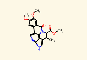 COC(=O)[C@H]1C(C)c2c[nH]c3ncc4c5cc(OC)c(OC)cc5c(=O)n1c4c23